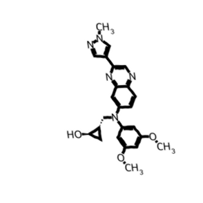 COc1cc(OC)cc(N(C[C@@H]2C[C@H]2O)c2ccc3ncc(-c4cnn(C)c4)nc3c2)c1